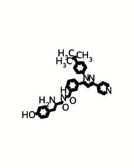 CC(C)(C)c1ccc(-n2nc(-c3ccncc3)cc2-c2cccc(C(=O)NC(=O)[C@@H](N)Cc3ccc(O)cc3)c2)cc1